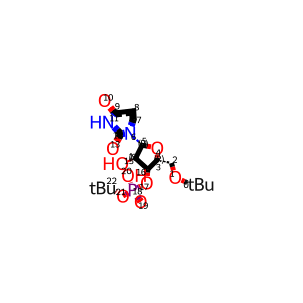 CC(C)(C)OC[C@H]1O[C@@H](n2ccc(=O)[nH]c2=O)[C@@H](O)C1OP(=O)(O)OC(C)(C)C